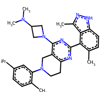 Cc1ccc(C(C)C)cc1N1CCc2nc(-c3c(C)ccc4[nH]nc(C)c34)nc(N3CC(N(C)C)C3)c2C1